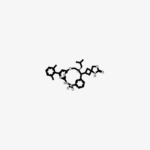 Cc1cccc(C)c1-c1cc2nc(n1)NS(=O)(=O)c1cccc(c1)C(C1CC3(COC(=O)N3)C1)[C@H](CC(C)C)CO2